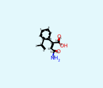 C=C(C)c1ccccc1C(=CC(N)=O)C(=O)O